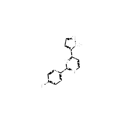 Fc1ccc(-c2nccc(-c3c[c]n[nH]3)n2)cc1